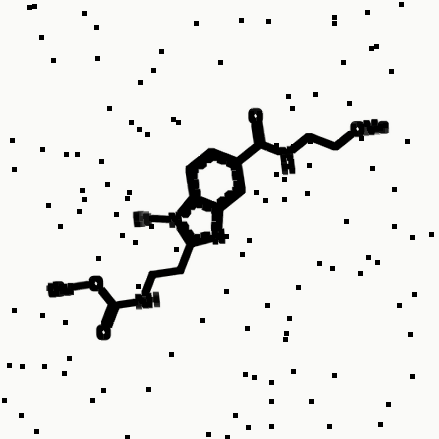 CCn1c(CCNC(=O)OC(C)(C)C)nc2cc(C(=O)NCCOC)ccc21